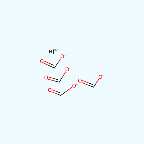 O=C[O-].O=C[O-].O=C[O-].O=C[O-].[Hf+4]